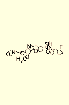 COc1cc2c(Oc3ccc(N(S)C(=O)NC(=O)Cc4ccccc4F)cc3F)ccnc2cc1OCCCN1CCOCC1